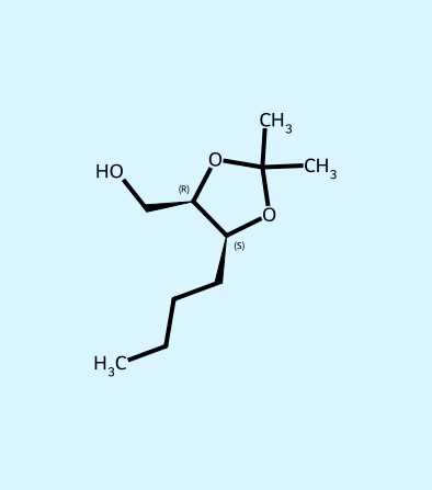 CCCC[C@@H]1OC(C)(C)O[C@@H]1CO